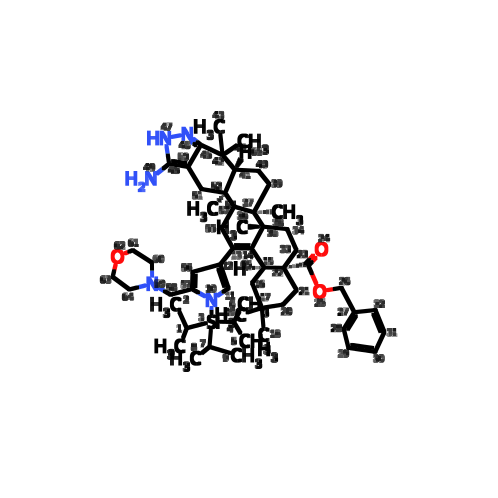 CC(C)[Si](C(C)C)(C(C)C)n1cc(C2=C3[C@@H]4CC(C)(C)CC[C@]4(C(=O)OCc4ccccc4)CC[C@@]3(C)[C@]3(C)CC[C@H]4C(C)(C)c5n[nH]c(N)c5C[C@]4(C)C3C2)cc1CN1CCOCC1